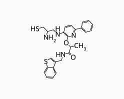 CC(Oc1nc(-c2ccccc2)ccc1NCC(N)CS)C(=O)NCc1csc2ccccc12